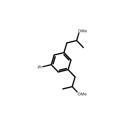 COC(C)Cc1cc(CC(C)OC)cc(C(C)C)c1